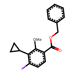 COc1c(C(=O)OCc2ccccc2)ccc(I)c1C1CC1